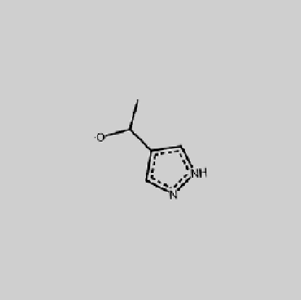 CC([O])c1cn[nH]c1